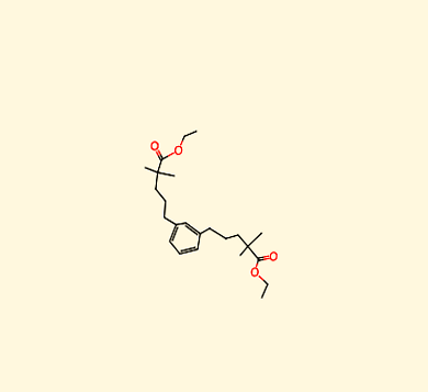 CCOC(=O)C(C)(C)CCCc1cccc(CCCC(C)(C)C(=O)OCC)c1